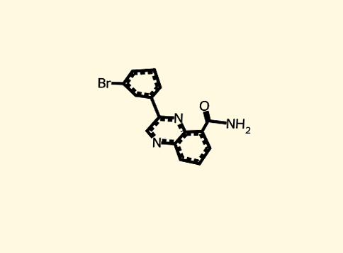 NC(=O)c1cccc2ncc(-c3cccc(Br)c3)nc12